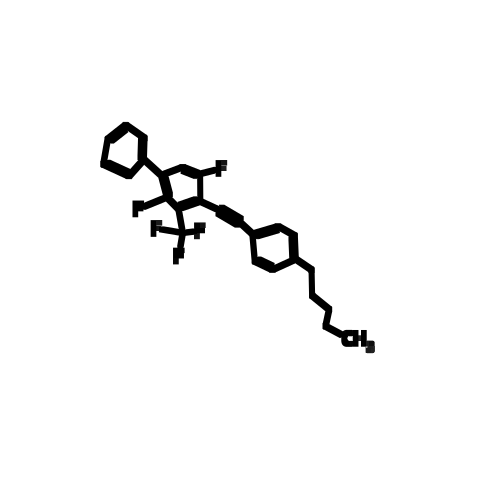 CCCCCc1ccc(C#Cc2c(F)cc(-c3ccccc3)c(F)c2C(F)(F)F)cc1